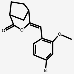 COc1cc(Br)ccc1C=C1OC(=O)C2CCC1C2